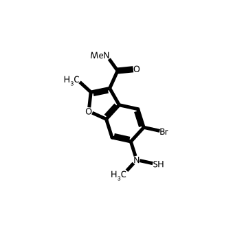 CNC(=O)c1c(C)oc2cc(N(C)S)c(Br)cc12